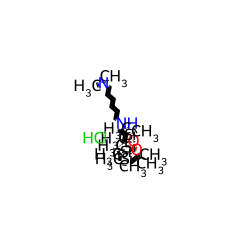 CN(C)CCCCCCNCCC[Si]1(O[Si](C)(C)C)OC(C)(C)C[Si](C)(C)[Si]1(C)C.Cl